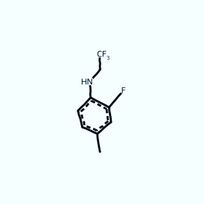 Cc1ccc(NCC(F)(F)F)c(F)c1